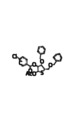 CC(=O)OC1S[C@H](COCc2ccccc2)[C@@H](OCc2ccccc2)[C@@H]1OC(=O)c1ccc(Cl)cc1